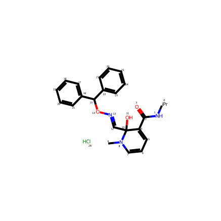 CC(C)NC(=O)C1=CC=CN(C)C1(O)C=NOC(c1ccccc1)c1ccccc1.Cl